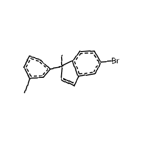 Cc1cccc(C2(C)C=Cc3cc(Br)ccc32)c1